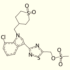 CS(=O)(=O)OCc1nc(-c2cn(CC3CCS(=O)(=O)CC3)c3c(Cl)cccc23)ns1